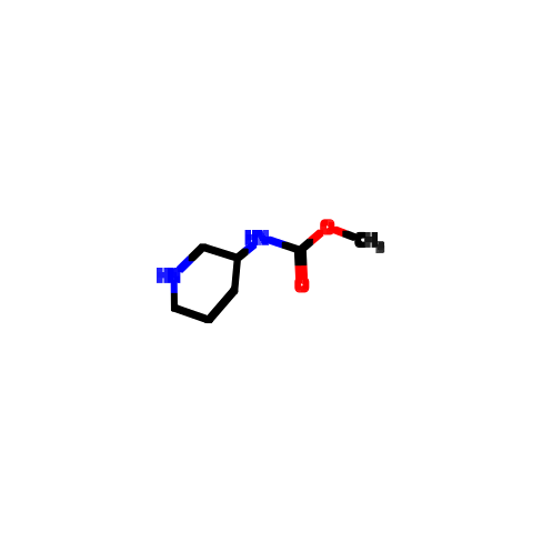 COC(=O)NC1CCCNC1